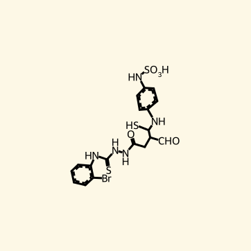 O=CC(CC(=O)NNC(=S)Nc1ccccc1Br)C(S)Nc1ccc(NS(=O)(=O)O)cc1